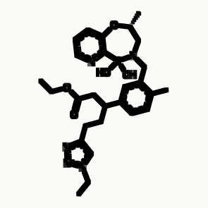 CCOC(=O)CC(CCc1cn(CC)nn1)c1ccc(C)c(CN2C[C@@H](C)Oc3cccnc3S2(O)O)c1